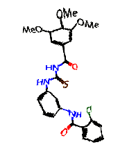 COC1=CC(C(=O)NC(=S)Nc2cccc(NC(=O)c3ccccc3Cl)c2)=CC(OC)C1OC